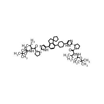 CC(C)[C@H](NC(=O)OC(C)(C)C)C(=O)N1CCC[C@H]1c1ncc(-c2ccc(C3CCC(c4cnc([C@@H]5CCCN5C(=O)[C@@H](NC(=O)OC(C)(C)C)C(C)C)[nH]4)CC3)c3c2CCC32CCCC2)[nH]1